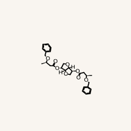 C[C@H](CC(=O)O[C@H]1CO[C@H]2[C@@H]1OC[C@H]2OC(=O)C[C@@H](C)OCc1ccccc1)OCc1ccccc1